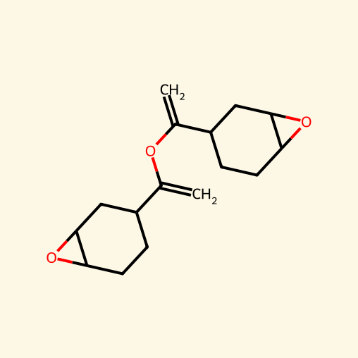 C=C(OC(=C)C1CCC2OC2C1)C1CCC2OC2C1